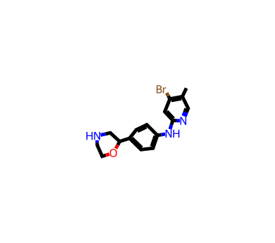 Cc1cnc(Nc2ccc(C3CNCCO3)cc2)cc1Br